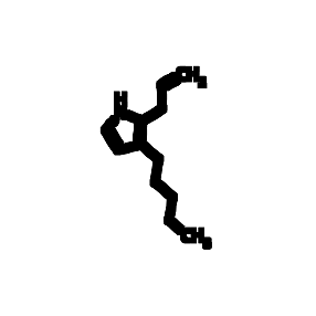 C=CCc1[nH]ccc1CCCCC